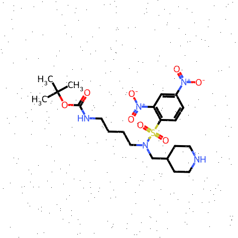 CC(C)(C)OC(=O)NCCCCN(CC1CCNCC1)S(=O)(=O)c1ccc([N+](=O)[O-])cc1[N+](=O)[O-]